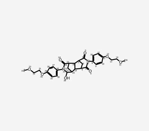 O=C1C2CC(C(=O)N1c1ccc(OCCOI)cc1)C1C3CC(C(=O)N(c4ccc(OCCOI)cc4)C3O)C21